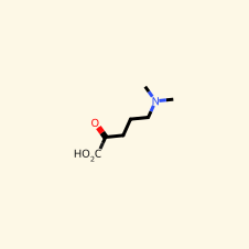 CN(C)CCCC(=O)C(=O)O